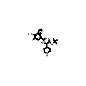 CC(C)(C)OC(=O)C(NC(=O)c1cc(Cl)c(N)c2ccoc12)C1CCNCC1